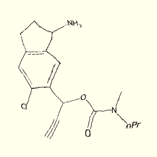 C#CC(OC(=O)N(C)CCC)c1cc2c(cc1Cl)CCC2N